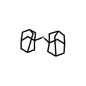 [B](C12CC3CC(CC(C3)C1)C2)C12CC3CC(CC(C3)C1)C2